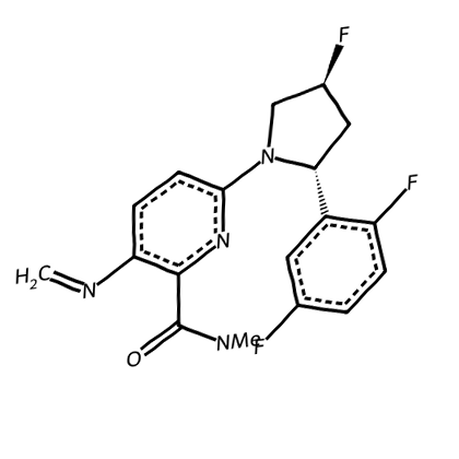 C=Nc1ccc(N2C[C@@H](F)C[C@@H]2c2cc(F)ccc2F)nc1C(=O)NC